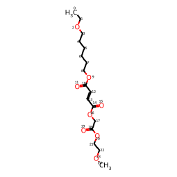 CCOCCCCCCOC(=O)/C=C/C(=O)OCC(=O)OCCOC